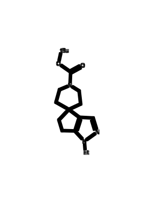 CCn1ncc2c1CCC21CCN(C(=O)OC(C)(C)C)CC1